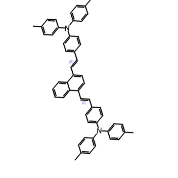 Cc1ccc(N(c2ccc(C)cc2)c2ccc(/C=C/c3ccc(/C=C/c4ccc(N(c5ccc(C)cc5)c5ccc(C)cc5)cc4)c4ccccc34)cc2)cc1